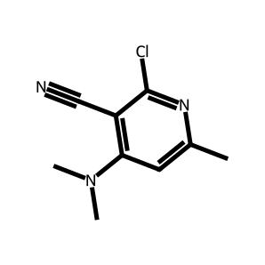 Cc1cc(N(C)C)c(C#N)c(Cl)n1